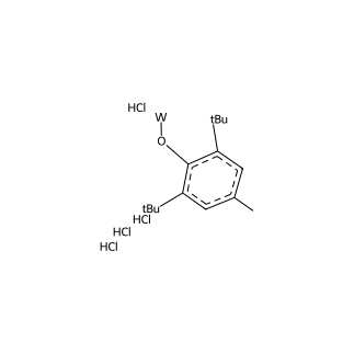 Cc1cc(C(C)(C)C)c([O][W])c(C(C)(C)C)c1.Cl.Cl.Cl.Cl